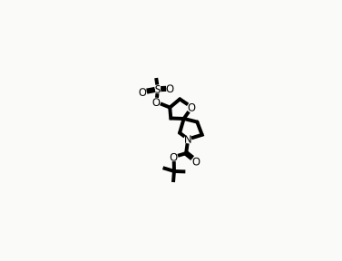 CC(C)(C)OC(=O)N1CCC2(CC(OS(C)(=O)=O)CO2)C1